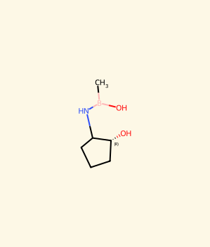 CB(O)NC1CCC[C@H]1O